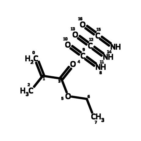 C=C(C)C(=O)OCC.N=C=O.N=C=O.N=C=O